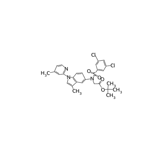 Cc1ccnc(-n2cc(C)c3cc(N(CC(=O)OC(C)(C)C)S(=O)(=O)c4cc(Cl)cc(Cl)c4)ccc32)c1